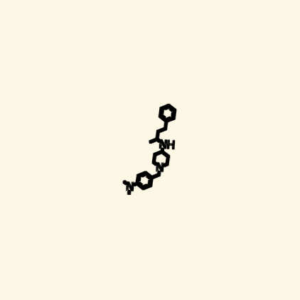 CC(CCc1ccccc1)NC1CCN(Cc2ccc(N(C)C)cc2)CC1